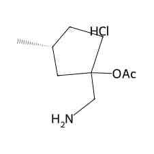 CC(=O)OC1(CN)CC[C@@H](C)C1.Cl